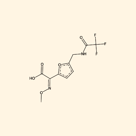 CON=C(C(=O)O)c1ccc(CNC(=O)C(F)(F)F)o1